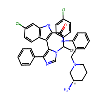 CC(c1ccc(Cl)cc1)n1cnc(-c2ccccc2)c1-c1c(C(=O)Nc2ccccc2CN2CCC[C@@H](N)C2)[nH]c2cc(Cl)ccc12